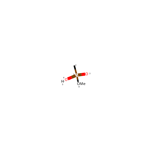 COS(C)(=O)=O.[H]